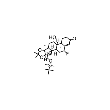 CC1(C)O[C@@H]2C[C@H]3[C@@H]4C[C@H](F)C5=CC(=O)CC[C@]5(C)[C@H]4[C@@H](O)C[C@]3(C)[C@]2(C(=O)CO[Si](C)(C)C(C)(C)C)O1